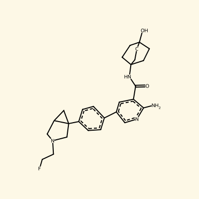 Nc1ncc(-c2ccc(C34CC3CN(CCF)C4)cc2)cc1C(=O)NC12CCC(O)(CC1)CC2